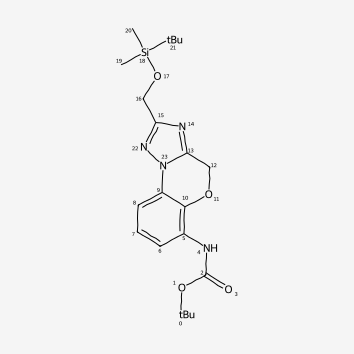 CC(C)(C)OC(=O)Nc1cccc2c1OCc1nc(CO[Si](C)(C)C(C)(C)C)nn1-2